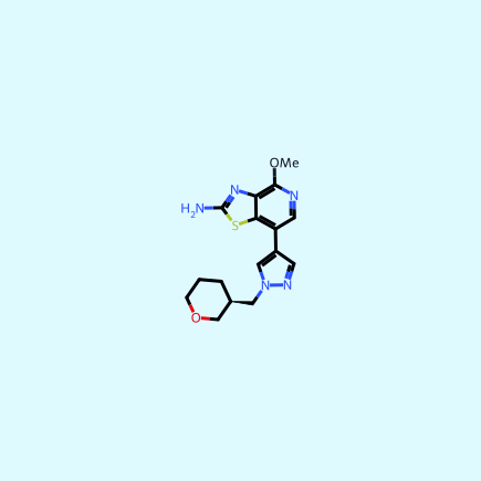 COc1ncc(-c2cnn(C[C@@H]3CCCOC3)c2)c2sc(N)nc12